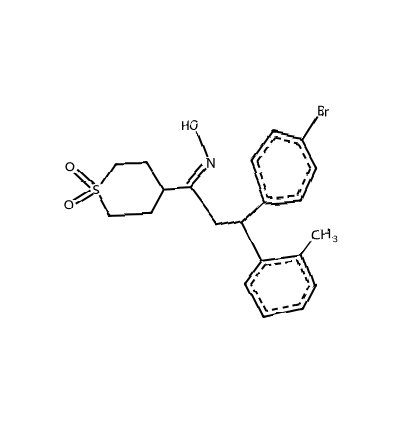 Cc1ccccc1C(CC(=NO)C1CCS(=O)(=O)CC1)c1ccc(Br)cc1